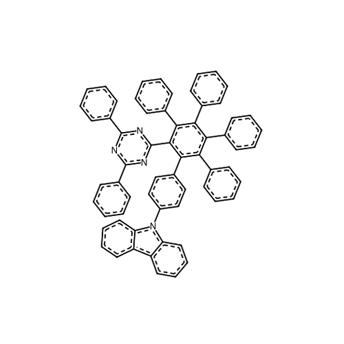 c1ccc(-c2nc(-c3ccccc3)nc(-c3c(-c4ccccc4)c(-c4ccccc4)c(-c4ccccc4)c(-c4ccccc4)c3-c3ccc(-n4c5ccccc5c5ccccc54)cc3)n2)cc1